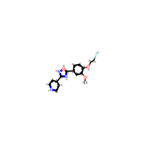 CCOc1cc(-c2nc(-c3ccncc3)no2)ccc1OCCF